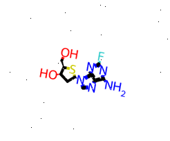 Nc1nc(F)nc2c1ncn2[C@@H]1C[C@H](O)[C@@H](CO)S1